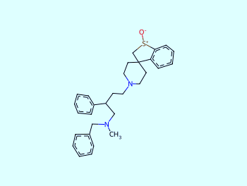 CN(Cc1ccccc1)CC(CCN1CCC2(CC1)C[S+]([O-])c1ccccc12)c1ccccc1